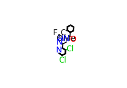 CON=C(CNC(=O)c1ccccc1C(F)(F)F)c1ncc(Cl)cc1Cl